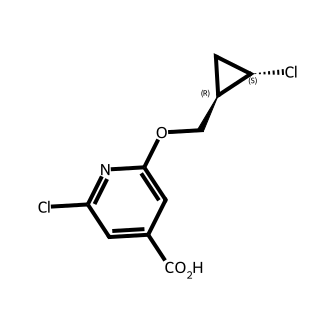 O=C(O)c1cc(Cl)nc(OC[C@H]2C[C@@H]2Cl)c1